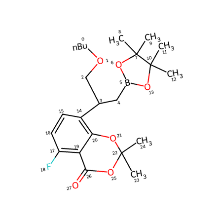 CCCCOCC(CB1OC(C)(C)C(C)(C)O1)c1ccc(F)c2c1OC(C)(C)OC2=O